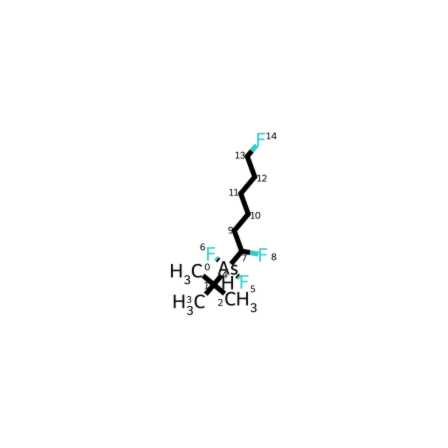 CC(C)(C)[AsH](F)(F)C(F)CCCCCF